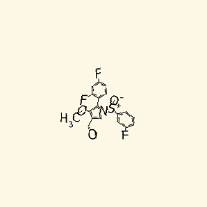 COc1c(C=O)cn([S+]([O-])c2cccc(F)c2)c1-c1ccc(F)cc1F